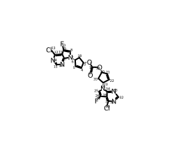 O=C(O[C@@H]1C=C[C@H](n2cc(F)c3c(Cl)ncnc32)C1)O[C@@H]1C=C[C@H](n2cc(F)c3c(Cl)ncnc32)C1